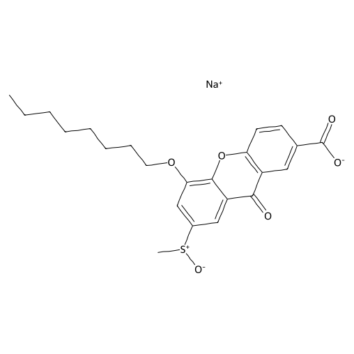 CCCCCCCCOc1cc([S+](C)[O-])cc2c(=O)c3cc(C(=O)[O-])ccc3oc12.[Na+]